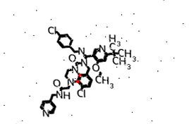 CCOc1cc(C(C)(C)C)ncc1/C(=N/CC1C=CC(Cl)=CC1)N(Cc1ccc(Cl)cc1)C(=O)N1CCN(CC(=O)NCc2ccncc2)CC1